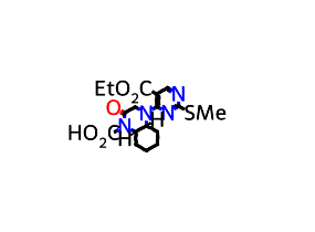 CCOC(=O)c1cnc(SC)nc1N1CC(=O)N(C(=O)O)[C@@H]2CCCC[C@H]21